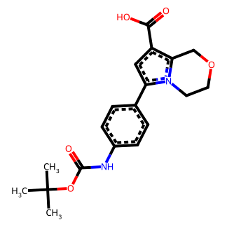 CC(C)(C)OC(=O)Nc1ccc(-c2cc(C(=O)O)c3n2CCOC3)cc1